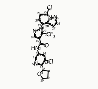 O=C(Nc1cnc([C@@H]2CCCO2)c(Cl)c1)c1cnn(-c2ccc(Cl)n3nccc23)c1C(F)(F)F